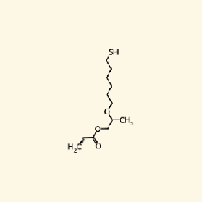 C=CC(=O)OCC(C)OCCCCCCS